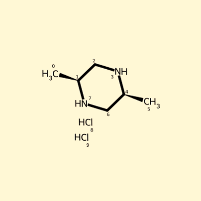 C[C@H]1CN[C@@H](C)CN1.Cl.Cl